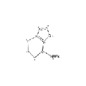 CC(=O)NC1CCCc2ccoc21